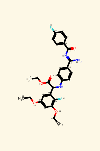 CCOC(=O)C(Nc1ccc(/C(N)=N/C(=O)c2ccc(F)cc2)cc1)c1cc(OCC)cc(OCC)c1F